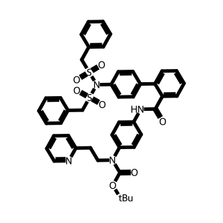 CC(C)(C)OC(=O)N(CCc1ccccn1)c1ccc(NC(=O)c2ccccc2-c2ccc(N(S(=O)(=O)Cc3ccccc3)S(=O)(=O)Cc3ccccc3)cc2)cc1